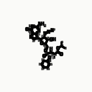 CC(C)OC(=O)[C@H](C)NP(=O)(OC[C@H]1O[C@@H](n2cnc3c(=O)[nH]c(N)nc32)C(N=[N+]=[N-])[C@@H]1O)Oc1ccccc1